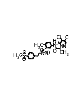 Cc1ccc(NC(=O)[C@H](C)n2ncc(Cl)c(Cl)c2=O)cc1S(=O)(=O)NCCc1ccc(S(C)(=O)=O)cc1